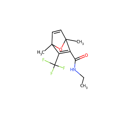 CCNC(=O)C1=C(C(F)(F)F)C2(C)C=CC1(C)O2